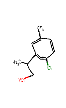 [CH2]C(CO)c1cc(C(F)(F)F)ccc1Cl